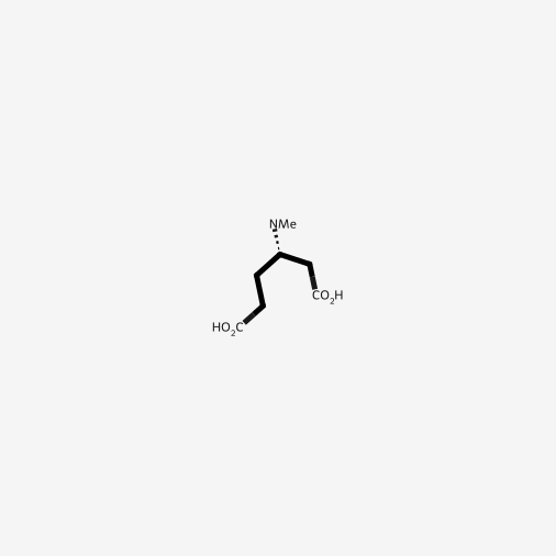 CN[C@@H](CCC(=O)O)CC(=O)O